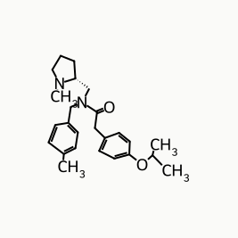 Cc1ccc(CN(C[C@H]2CCCN2C)C(=O)Cc2ccc(OC(C)C)cc2)cc1